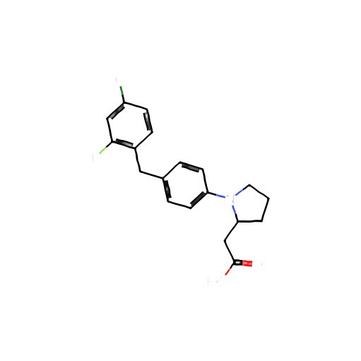 O=C(O)CC1CCCN1c1ccc(Cc2ccc(Cl)cc2F)cc1